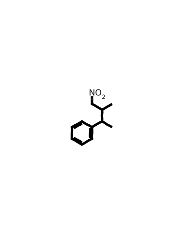 CC(C[N+](=O)[O-])C(C)c1ccccc1